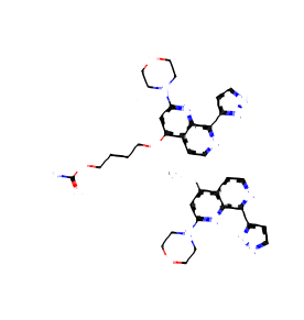 COc1cc(N2CCOC[C@H]2C)nc2c(-c3cc[nH]n3)nccc12.C[C@@H]1COCCN1c1cc(OCCCCOC(N)=O)c2ccnc(-c3ccn[nH]3)c2n1